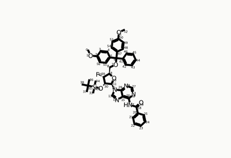 COc1ccc(C(OC[C@H]2O[C@@H](n3cnc4c(NC(=O)c5ccccc5)ncnc43)[C@H](O[Si](C)(C)C(C)(C)C)[C@@H]2F)(c2ccccc2)c2ccc(OC)cc2)cc1